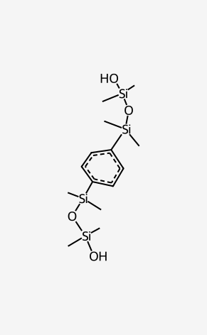 C[Si](C)(O)O[Si](C)(C)c1ccc([Si](C)(C)O[Si](C)(C)O)cc1